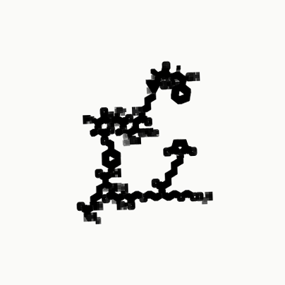 CC[C@H](C)[C@@H]([C@@H](CC(=O)NCCC[C@@H]1C[C@@]1(OC)[C@@H](C)C(=O)N[C@H](C)[C@@H](O)c1ccccc1)OC)N(C)C(=O)[C@@H](NC(=O)[C@H](C(C)C)N(C)C(=O)OCc1ccc(NC(=O)[C@H](CCCNC(N)=O)NC(=O)[C@@H](NC(=O)COCCN(CCOCC(=O)O)C(=O)CCCCCN2C(=O)C=CC2=O)C(C)C)cc1)C(C)C